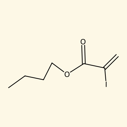 C=C(I)C(=O)OCCCC